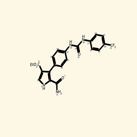 CCOC(=O)c1c[nH]c(C(N)=O)c1-c1ccc(NC(=O)Nc2ccc(C(F)(F)F)cc2)cc1